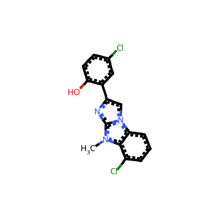 Cn1c2c(Cl)cccc2n2cc(-c3cc(Cl)ccc3O)nc12